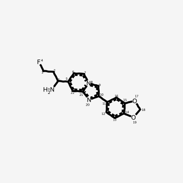 NC(CCF)c1ccn2cc(-c3ccc4c(c3)OCO4)nc2c1